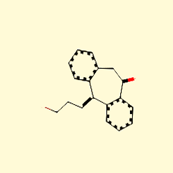 O=C1Cc2ccccc2C(=CCCBr)c2ccccc21